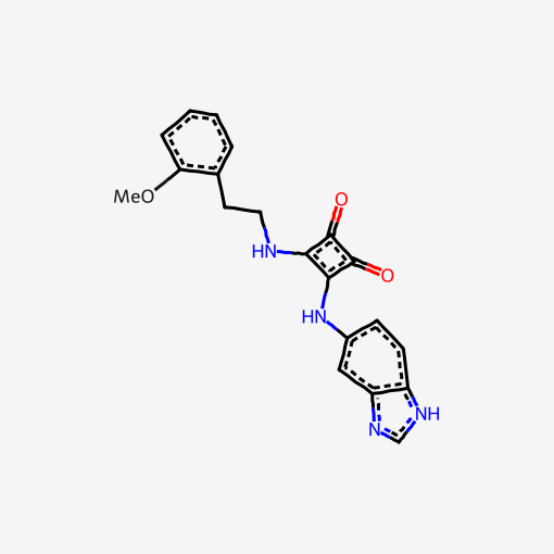 COc1ccccc1CCNc1c(Nc2ccc3[nH]cnc3c2)c(=O)c1=O